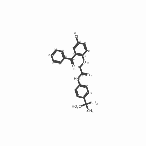 CC(C)(C(=O)O)c1ccc(NC(=O)COc2ccc(Cl)cc2C(=O)c2ccccc2)cc1